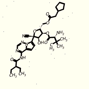 CCC(CC)C(=O)Nc1ncnn2c([C@]3(C#N)O[C@H](COC(=O)CC4CCCC4)[C@@H](OC(=O)[C@H](N)C(C)(C)C)[C@H]3O)ccc12